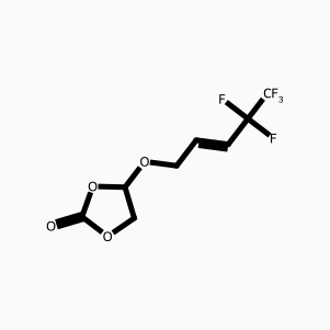 O=C1OCC(OC/C=C/C(F)(F)C(F)(F)F)O1